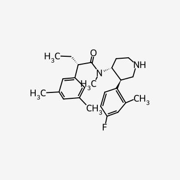 CC[C@H](C(=O)N(C)[C@@H]1CCNC[C@H]1c1ccc(F)cc1C)c1cc(C)cc(C)c1